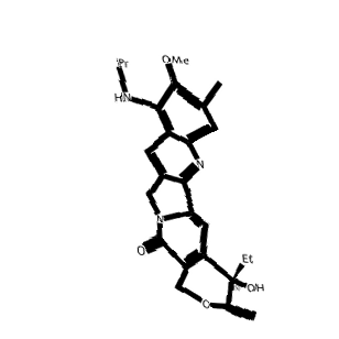 C=C1OCc2c(cc3n(c2=O)Cc2cc4c(NC(C)C)c(OC)c(C)cc4nc2-3)[C@@]1(O)CC